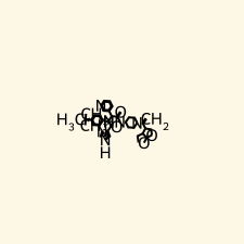 C=C(C1COC2OCCC21)N1CCC(NC(=O)C(c2cccnc2)N(C(=O)c2c[nH]cn2)c2ccc(C(C)(C)C)cc2)CC1